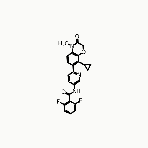 CN1C(=O)COc2c1ccc(-c1ccc(NC(=O)c3c(F)cccc3F)cn1)c2C1CC1